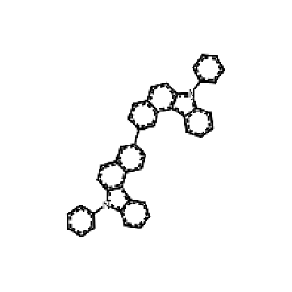 c1ccc(-n2c3ccccc3c3c4ccc(-c5ccc6ccc7c(c6c5)c5ccccc5n7-c5ccccc5)cc4ccc32)cc1